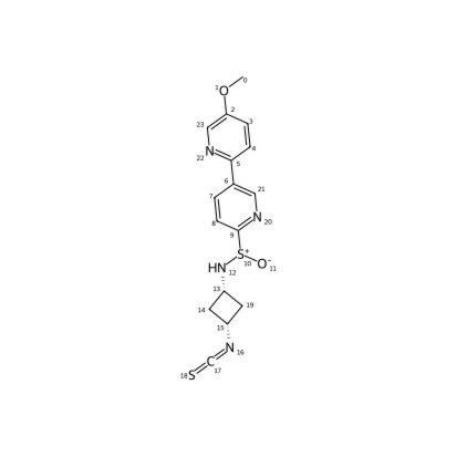 COc1ccc(-c2ccc([S+]([O-])N[C@H]3C[C@@H](N=C=S)C3)nc2)nc1